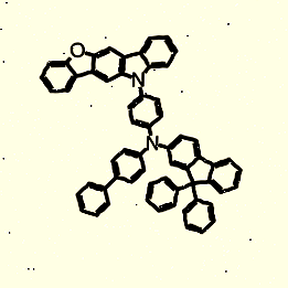 c1ccc(-c2ccc(N(c3ccc(-n4c5ccccc5c5cc6oc7ccccc7c6cc54)cc3)c3ccc4c(c3)C(c3ccccc3)(c3ccccc3)c3ccccc3-4)cc2)cc1